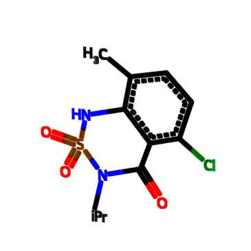 Cc1ccc(Cl)c2c1NS(=O)(=O)N(C(C)C)C2=O